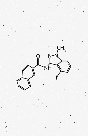 Cn1nc(NC(=O)c2ccc3ccccc3c2)c2c(I)cccc21